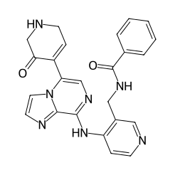 O=C1CNCC=C1c1cnc(Nc2ccncc2CNC(=O)c2ccccc2)c2nccn12